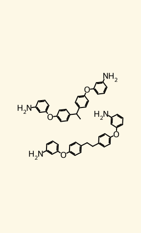 CC(c1ccc(Oc2cccc(N)c2)cc1)c1ccc(Oc2cccc(N)c2)cc1.Nc1cccc(Oc2ccc(CCc3ccc(Oc4cccc(N)c4)cc3)cc2)c1